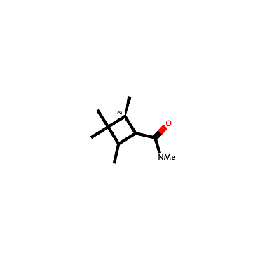 CNC(=O)C1C(C)C(C)(C)[C@H]1C